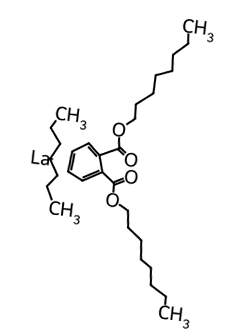 CCCCCCC.CCCCCCCCOC(=O)c1ccccc1C(=O)OCCCCCCCC.[La]